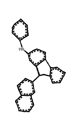 c1ccc(Nc2ccc3c(c2)C(c2ccc4ccccc4c2)c2ccccc2-3)cc1